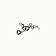 COC(=O)c1ccc2c(c1)c(C=O)cn2Cc1ccccc1